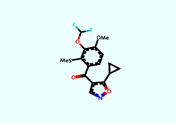 COc1ccc(C(=O)c2cnoc2C2CC2)c(SC)c1OC(F)F